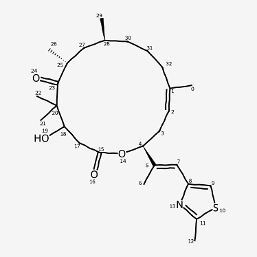 C/C1=C/C[C@@H](/C(C)=C/c2csc(C)n2)OC(=O)CC(O)C(C)(C)C(=O)[C@H](C)C[C@@H](C)CCC1